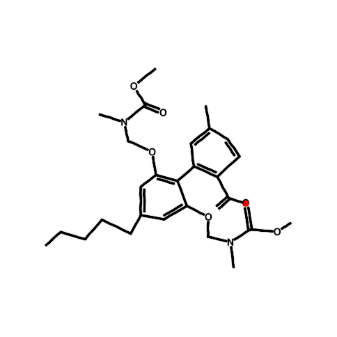 C=C(C)c1ccc(C)cc1-c1c(OCN(C)C(=O)OC)cc(CCCCC)cc1OCN(C)C(=O)OC